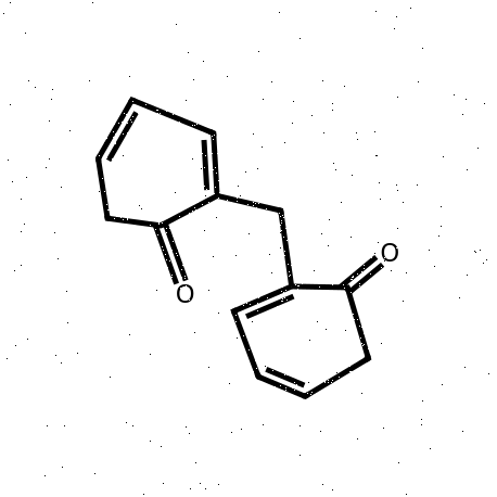 O=C1CC=CC=C1CC1=CC=CCC1=O